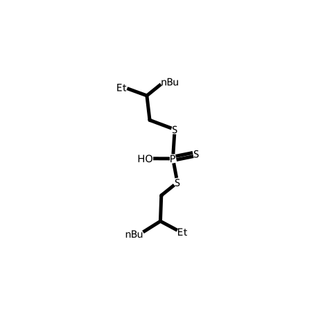 CCCCC(CC)CSP(O)(=S)SCC(CC)CCCC